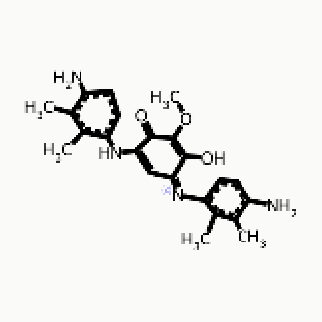 COC1=C(O)/C(=N\c2ccc(N)c(C)c2C)C=C(Nc2ccc(N)c(C)c2C)C1=O